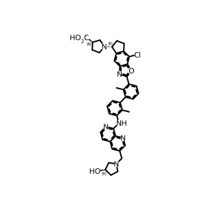 Cc1c(Nc2nccc3cc(CN4CC[C@@H](O)C4)cnc23)cccc1-c1cccc(-c2nc3cc4c(c(Cl)c3o2)CC[C@H]4N2CC[C@@H](C(=O)O)C2)c1C